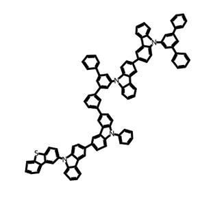 c1ccc(-c2cc(-c3ccccc3)cc(-n3c4ccccc4c4cc(-c5ccc6c(c5)c5ccccc5n6-c5cc(-c6ccccc6)cc(-c6cccc(-c7ccc8c(c7)c7cc(-c9ccc%10c(c9)c9ccccc9n%10-c9ccc%10sc%11ccccc%11c%10c9)ccc7n8-c7ccccc7)c6)c5)ccc43)c2)cc1